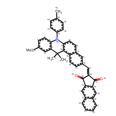 CSc1ccc2c(c1)C(C)(C)c1c(ccc3cc(C=C4C(=O)c5cc6ccccc6cc5C4=O)ccc13)N2c1ccc(C)cc1